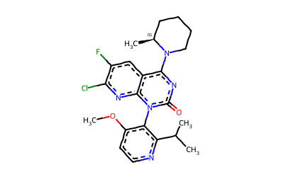 COc1ccnc(C(C)C)c1-n1c(=O)nc(N2CCCC[C@@H]2C)c2cc(F)c(Cl)nc21